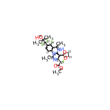 COC(=O)C(F)c1nc(C)nc(N[C@H](C)c2cccc(C(F)(F)C(C)(C)O)c2F)c1C1OCCO1